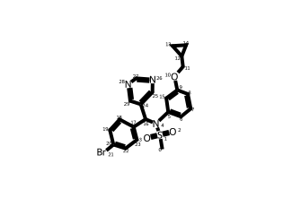 CS(=O)(=O)N(c1cccc(OCC2CC2)c1)C(c1ccc(Br)cc1)c1cncnc1